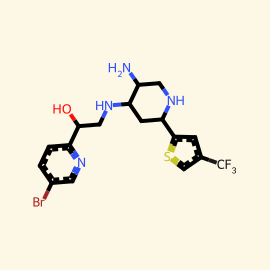 NC1CNC(c2cc(C(F)(F)F)cs2)CC1NCC(O)c1ccc(Br)cn1